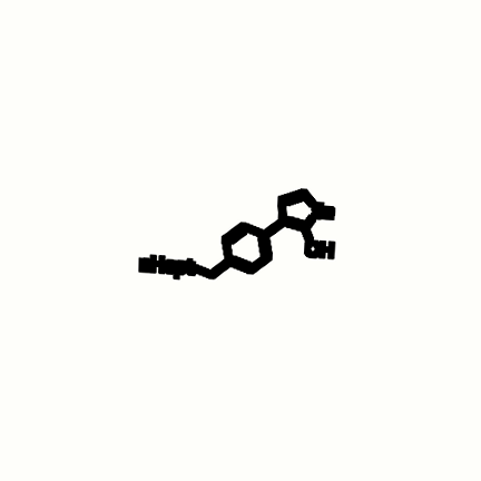 CCCCCCCCc1ccc(-c2cc[se]c2O)cc1